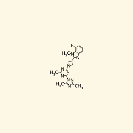 Cc1nc(N2CC(c3nc4cccc(F)c4n3C)C2)cc(-n2nc(C)nc2C)n1